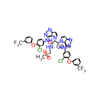 CS(=O)(=O)CCNC(=O)C(C(C(=O)O)n1ccc2ncnc(Nc3ccc(Oc4cccc(C(F)(F)F)c4)c(Cl)c3)c21)n1ccc2ncnc(Nc3ccc(Oc4cccc(C(F)(F)F)c4)c(Cl)c3)c21